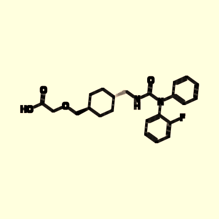 O=C(O)COC[C@H]1CC[C@H](CNC(=O)N(c2ccccc2)c2ccccc2F)CC1